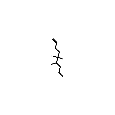 C=CCCC(F)(F)C(C)CCC